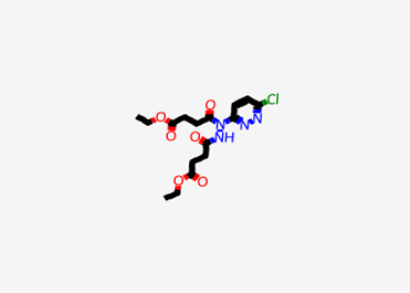 CCOC(=O)CCC(=O)NN(C(=O)CCC(=O)OCC)c1ccc(Cl)nn1